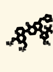 CCc1cc2c(N3CCc4c(cc(Cn5ccnc5)cc4-n4nc(C)cc4C(F)(F)F)C3=O)ccnc2c(OC)n1